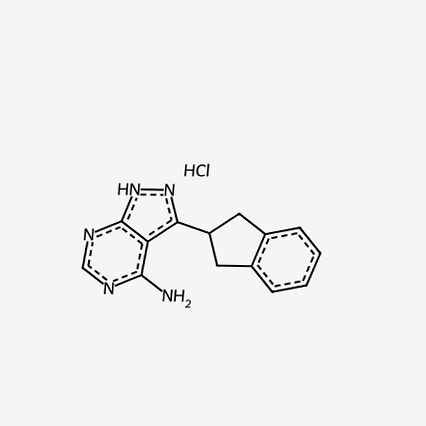 Cl.Nc1ncnc2[nH]nc(C3Cc4ccccc4C3)c12